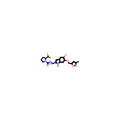 Cc1cc(COc2cc3[nH]c(CNC(=O)N4CCCC4C(F)F)cc3cc2Cl)on1